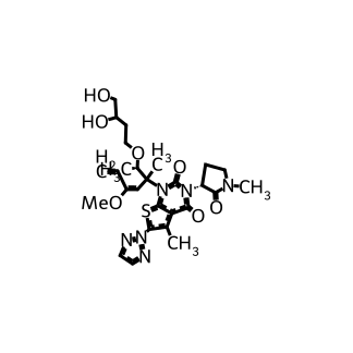 C=C/C(=C\C(C)([C@@H](C)OCCC(O)CO)n1c(=O)n([C@@H]2CCN(C)C2=O)c(=O)c2c(C)c(-n3nccn3)sc21)OC